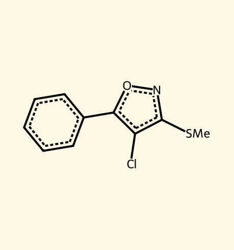 CSc1noc(-c2ccccc2)c1Cl